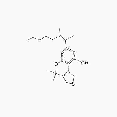 CCCCCC(C)C(C)c1cc(O)c2c(c1)OC(C)(C)C1=C2CSC1